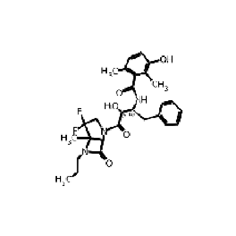 CCCN1C(=O)C2N(C(=O)[C@@H](O)[C@H](Cc3ccccc3)NC(=O)c3c(C)ccc(O)c3C)CC(F)(F)C21C